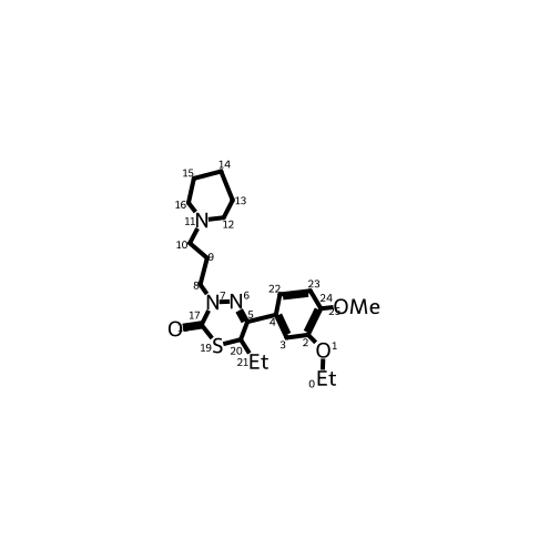 CCOc1cc(C2=NN(CCCN3CCCCC3)C(=O)SC2CC)ccc1OC